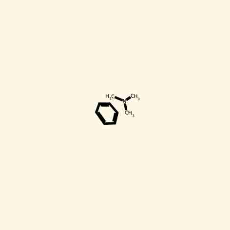 CN(C)C.c1ccccc1